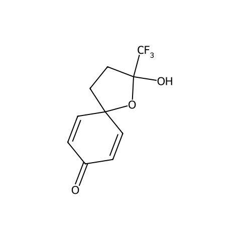 O=C1C=CC2(C=C1)CCC(O)(C(F)(F)F)O2